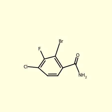 NC(=O)c1ccc(Cl)c(F)c1Br